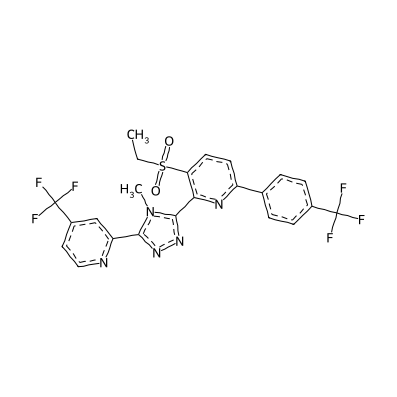 CCS(=O)(=O)c1ccc(-c2ccc(C(F)(F)F)cc2)nc1-c1nnc(-c2cc(C(F)(F)F)ccn2)n1C